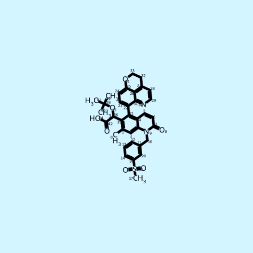 Cc1cc2c(ccc(=O)n2Cc2cccc(S(C)(=O)=O)c2)c(-c2ccc3c4c(ccnc24)CCO3)c1C(OC(C)(C)C)C(=O)O